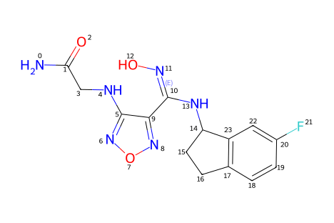 NC(=O)CNc1nonc1/C(=N\O)NC1CCc2ccc(F)cc21